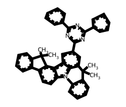 CC1(C)c2ccccc2-c2ccc3c(c21)c1cc(-c2nc(-c4ccccc4)nc(-c4ccccc4)n2)cc2c1n3-c1ccccc1C2(C)C